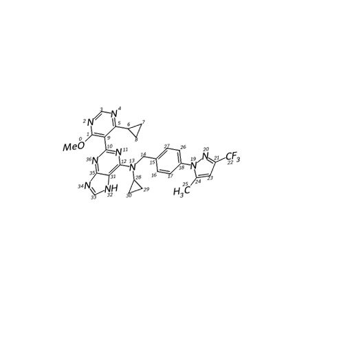 COc1ncnc(C2CC2)c1-c1nc(N(Cc2ccc(-n3nc(C(F)(F)F)cc3C)cc2)C2CC2)c2[nH]cnc2n1